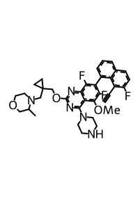 C#Cc1c(F)ccc2cccc(-c3c(F)c(OC)c4c(N5CCNCC5)nc(OCC5(CN6CCOCC6C)CC5)nc4c3F)c12